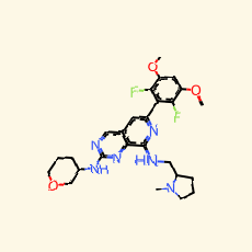 COc1cc(OC)c(F)c(-c2cc3cnc(NC4CCCOC4)nc3c(NCC3CCCN3C)n2)c1F